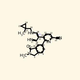 CN1Cc2ccc(-c3nc(C#N)ccc3/C(C=N)=C/NCC3(C)CC3)cc2C1=O